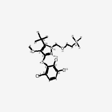 COc1c(Sc2c(Cl)ccc(Cl)c2Cl)nn(COCC[Si](C)(C)C)c1C(C)(C)C